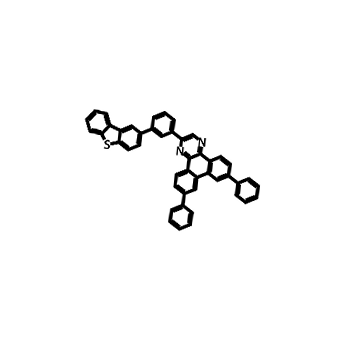 c1ccc(-c2ccc3c(c2)c2cc(-c4ccccc4)ccc2c2nc(-c4cccc(-c5ccc6sc7ccccc7c6c5)c4)cnc32)cc1